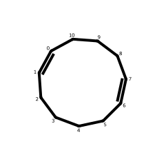 C1=CCCCCC=CCCC1